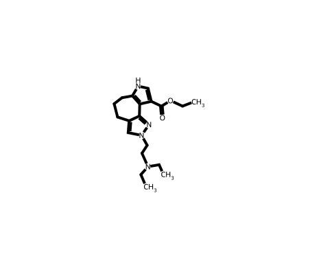 CCOC(=O)c1c[nH]c2c1-c1nn(CCN(CC)CC)cc1CCC2